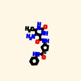 C=C1NC(=O)NC(C(=O)N[C@H]2CC[C@H](C(=O)Nc3ccccc3)C2)=C1N